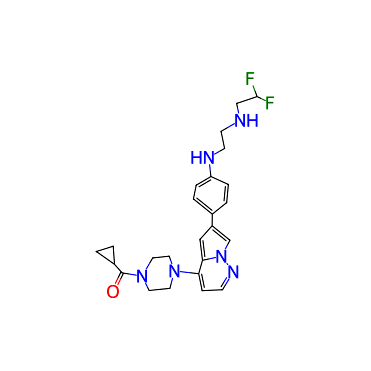 O=C(C1CC1)N1CCN(c2ccnn3cc(-c4ccc(NCCNCC(F)F)cc4)cc23)CC1